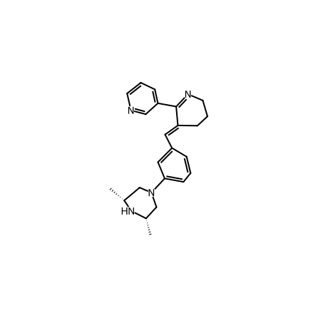 C[C@@H]1CN(c2cccc(/C=C3\CCCN=C3c3cccnc3)c2)C[C@H](C)N1